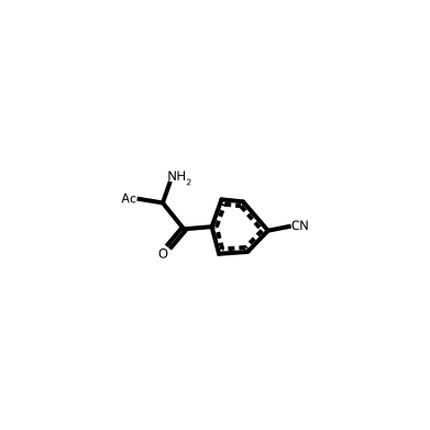 CC(=O)C(N)C(=O)c1ccc(C#N)cc1